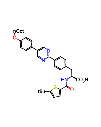 CCCCCCCCOc1ccc(-c2cnc(-c3ccc(C[C@H](NC(=O)c4ccc(C(C)(C)C)s4)C(=O)O)cc3)nc2)cc1